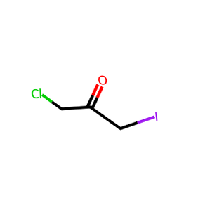 O=C(CCl)CI